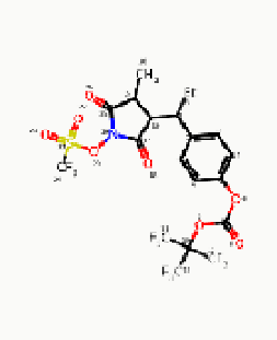 CCC(c1ccc(OC(=O)OC(C(F)(F)F)(C(F)(F)F)C(F)(F)F)cc1)C1C(=O)N(OS(=O)(=O)C(F)(F)F)C(=O)C1C